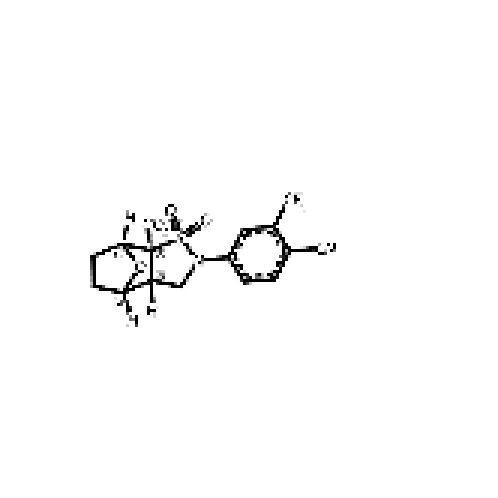 N#Cc1ccc(N2C[C@@H]3[C@@H]4CC[C@@H](O4)[C@]3(C(=O)O)S2(=O)=O)cc1C(F)(F)F